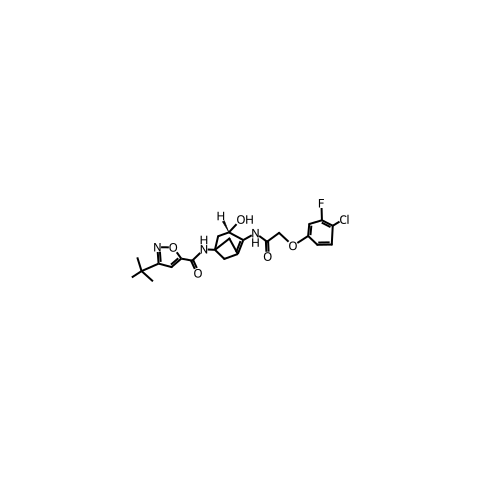 CC(C)(C)c1cc(C(=O)NC23CC(=C(NC(=O)COc4ccc(Cl)c(F)c4)[C@@H](O)C2)C3)on1